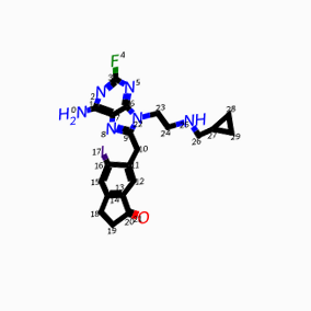 Nc1nc(F)nc2c1nc(Cc1cc3c(cc1I)CCC3=O)n2CCNCC1CC1